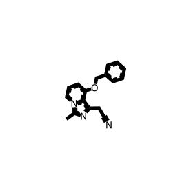 Cc1nc(CC#N)c2c(OCc3ccccc3)cccn12